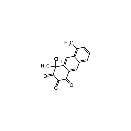 Cc1cccc2cc3c(cc12)C(C)(C)C(=O)C(=O)C3=O